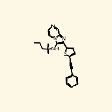 CCCC(C)(C)Nc1c(-c2ccc(C#Cc3ccccc3)s2)nc2cnccn12